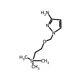 C[Si](C)(C)CCOCn1ccc(N)n1